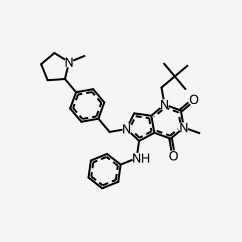 CN1CCCC1c1ccc(Cn2cc3c(c2Nc2ccccc2)c(=O)n(C)c(=O)n3CC(C)(C)C)cc1